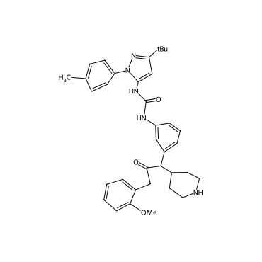 COc1ccccc1CC(=O)C(c1cccc(NC(=O)Nc2cc(C(C)(C)C)nn2-c2ccc(C)cc2)c1)C1CCNCC1